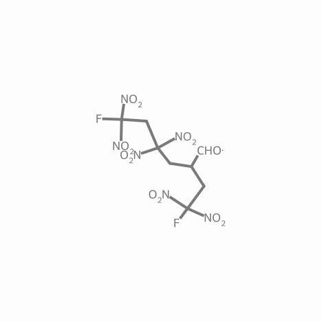 O=[C]C(CC(F)([N+](=O)[O-])[N+](=O)[O-])CC(CC(F)([N+](=O)[O-])[N+](=O)[O-])([N+](=O)[O-])[N+](=O)[O-]